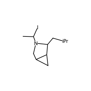 CC(C)CC1C2CC2CN1C(C)I